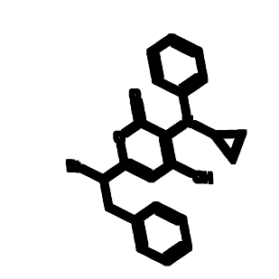 CCC(Cc1ccccc1)c1cc(O)c(N(c2ccccc2)C2CC2)c(=O)o1